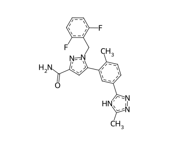 Cc1nnc(-c2ccc(C)c(-c3cc(C(N)=O)nn3Cc3c(F)cccc3F)c2)[nH]1